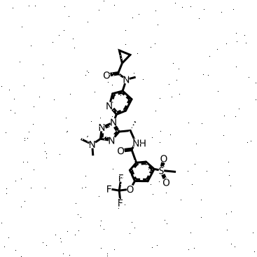 C[C@H](NC(=O)c1cc(OC(F)(F)F)cc(S(C)(=O)=O)c1)c1nc(N(C)C)nn1-c1ccc(N(C)C(=O)C2CC2)cn1